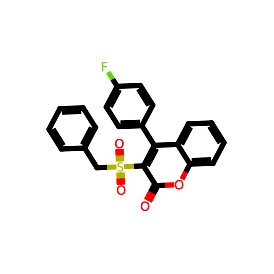 O=c1oc2ccccc2c(-c2ccc(F)cc2)c1S(=O)(=O)Cc1ccccc1